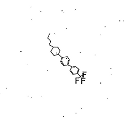 CCCCC1CCC(C2C=CC(c3ccc(C(F)(F)F)cc3)=CC2)CC1